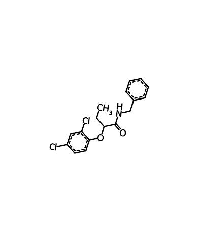 CCC(Oc1ccc(Cl)cc1Cl)C(=O)NCc1ccccc1